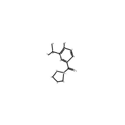 Cc1ccc(C(=O)N2CCCC2)cc1C(C)C